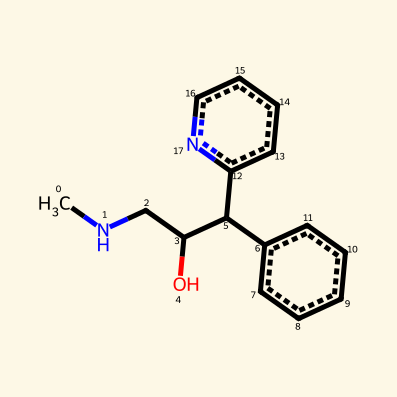 CNCC(O)C(c1ccccc1)c1ccccn1